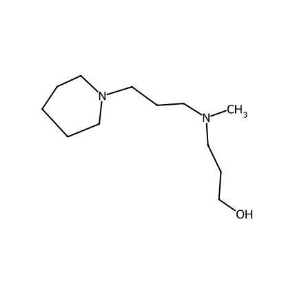 CN(CCCO)CCCN1CCCCC1